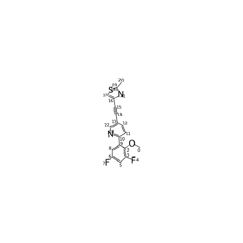 COc1c(F)cc(F)cc1-c1ccc(C#Cc2csc(C)n2)cn1